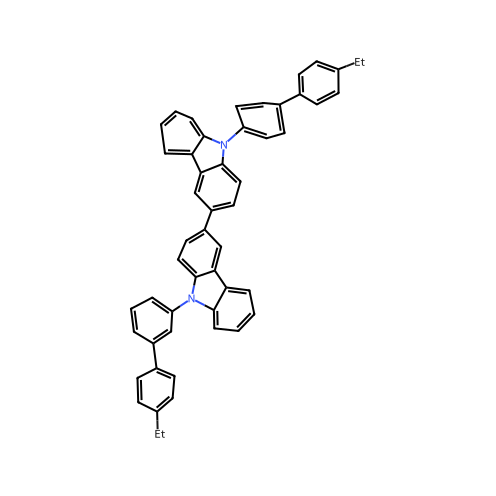 CCc1ccc(-c2ccc(-n3c4ccccc4c4cc(-c5ccc6c(c5)c5ccccc5n6-c5cccc(-c6ccc(CC)cc6)c5)ccc43)cc2)cc1